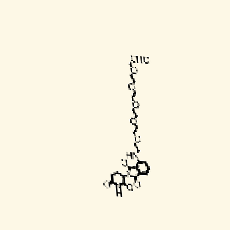 O=CCOCCOCCOCCOCCOCCNc1cccc2c1C(=O)N(C1CCC(=O)NC1=O)C2=O